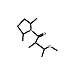 COC(C)C(C)C(=O)N1C(C)CCC1C